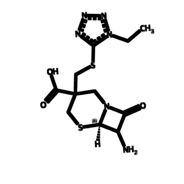 CCn1nnnc1SCC1(C(=O)O)CS[C@@H]2C(N)C(=O)N2C1